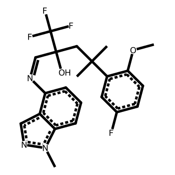 COc1ccc(F)cc1C(C)(C)CC(O)(/C=N\c1cccc2c1cnn2C)C(F)(F)F